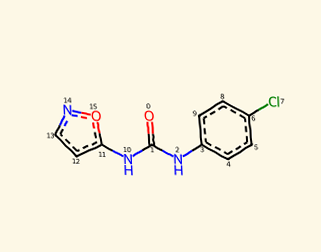 O=C(Nc1ccc(Cl)cc1)Nc1ccno1